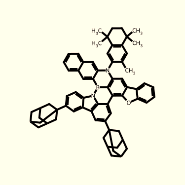 Cc1cc2c(cc1N1c3cc4ccccc4cc3B3c4c1cc1c(oc5ccccc51)c4-c1cc(C45CC6CC(CC(C6)C4)C5)cc4c5cc(C67CC8CC(CC(C8)C6)C7)ccc5n3c14)C(C)(C)CCC2(C)C